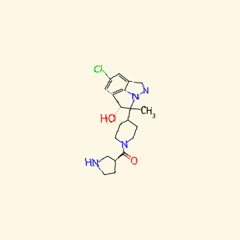 CC1(C2CCN(C(=O)[C@H]3CCNC3)CC2)[C@H](O)c2cc(Cl)cc3cnn1c23